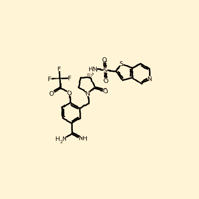 N=C(N)c1ccc(OC(=O)C(F)(F)F)c(CN2CC[C@H](NS(=O)(=O)c3cc4cnccc4s3)C2=O)c1